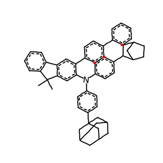 CC1(C)c2ccccc2-c2cc(-c3ccc(-c4ccccc4)cc3)c(N(c3ccc(C4CC5CCC4C5)cc3)c3ccc(C45CC6CC(CC(C6)C4)C5)cc3)cc21